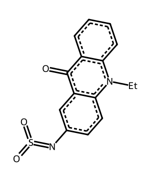 CCn1c2ccccc2c(=O)c2cc(N=S(=O)=O)ccc21